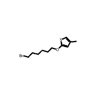 Cc1csc(OCCCCCCBr)c1